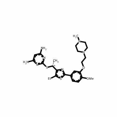 CCc1sc(-c2ccc(OC)c(OCCN3CCN(C)CC3)c2)nc1[C@@H](C)Sc1nc(N)cc(N)n1